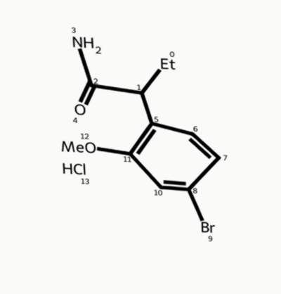 CCC(C(N)=O)c1ccc(Br)cc1OC.Cl